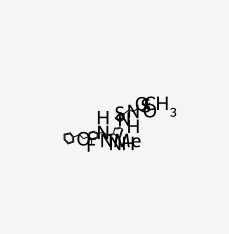 CN/C(Nc1ccc(OCc2ccccc2)c(F)c1)=C1/C=C(c2csc(CNCCS(C)(=O)=O)n2)C=CC1=N